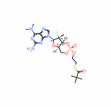 CN(C)c1nc(N)nc2c1ncn2[C@@H]1O[C@@H]2COP(=O)(OCCSC(=O)C(C)(C)C)O[C@H]2[C@@]1(C)F